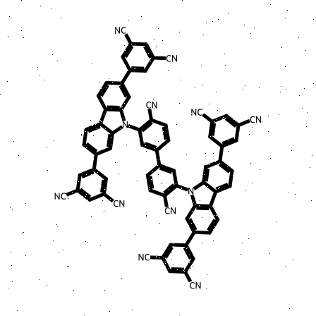 N#Cc1cc(C#N)cc(-c2ccc3c4ccc(-c5cc(C#N)cc(C#N)c5)cc4n(-c4cc(-c5ccc(C#N)c(-n6c7cc(-c8cc(C#N)cc(C#N)c8)ccc7c7ccc(-c8cc(C#N)cc(C#N)c8)cc76)c5)ccc4C#N)c3c2)c1